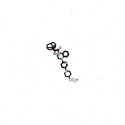 NC(=O)C12CC3CC(C1)C(NC(=O)N1CCN(c4ccc(N5CCC(C(=O)O)CC5)cn4)c4ccccc41)C(C3)C2